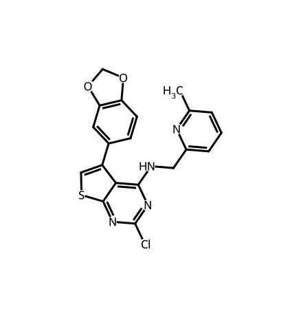 Cc1cccc(CNc2nc(Cl)nc3scc(-c4ccc5c(c4)OCO5)c23)n1